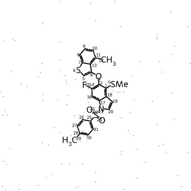 CSc1c(Oc2csc3cccc(C)c23)c(F)cc2c1ccn2S(=O)(=O)c1ccc(C)cc1